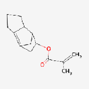 C=C(C)C(=O)OC1CC2=C3CCCC3C1C2